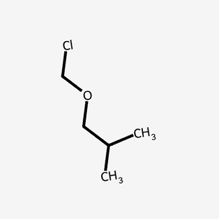 C[C](C)COCCl